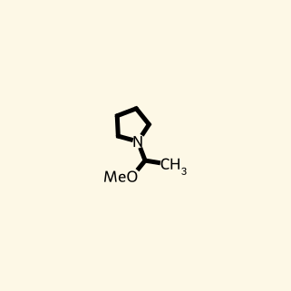 COC(C)N1CCCC1